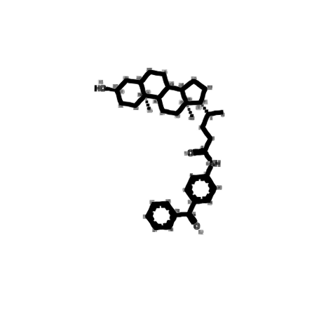 CC(CCC(=O)Nc1ccc(C(=O)c2ccccc2)cc1)[C@H]1CCC2C3CCC4C[C@H](O)CC[C@]4(C)C3CC[C@@]21C